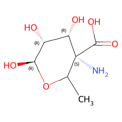 CC1O[C@@H](O)[C@H](O)[C@H](O)[C@@]1(N)C(=O)O